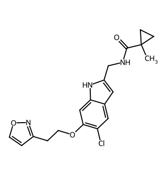 CC1(C(=O)NCc2cc3cc(Cl)c(OCCc4ccon4)cc3[nH]2)CC1